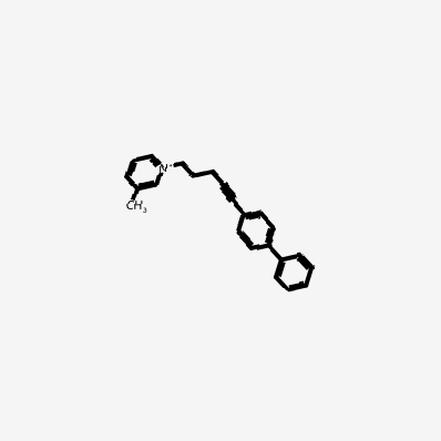 Cc1ccc[n+](CCCC#Cc2ccc(-c3ccccc3)cc2)c1